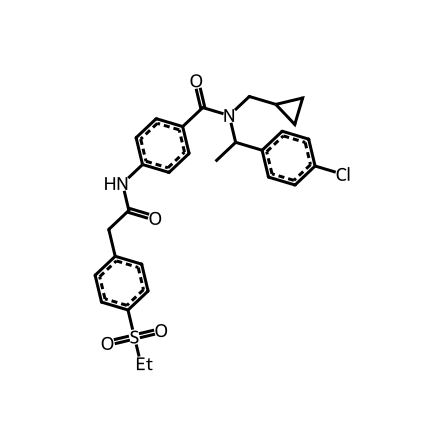 CCS(=O)(=O)c1ccc(CC(=O)Nc2ccc(C(=O)N(CC3CC3)C(C)c3ccc(Cl)cc3)cc2)cc1